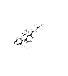 COC(=O)C[C@H](N)c1cncc(-c2c(C)cncc2C)c1